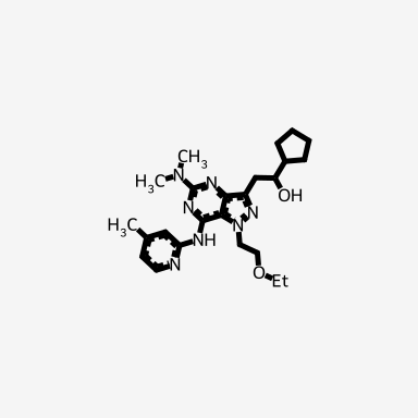 CCOCCn1nc(CC(O)C2CCCC2)c2nc(N(C)C)nc(Nc3cc(C)ccn3)c21